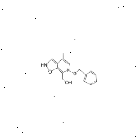 CC1=CN(OCc2ccccc2)C(CO)=C2ONC=C12